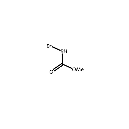 COC(=O)BBr